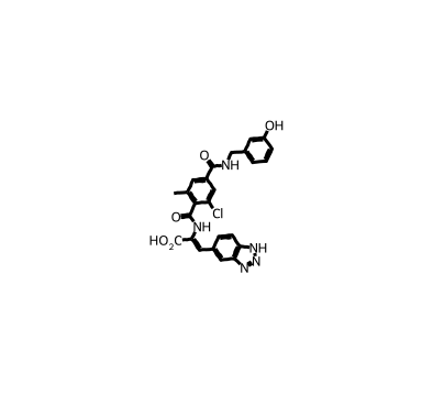 Cc1cc(C(=O)NCc2cccc(O)c2)cc(Cl)c1C(=O)NC(=Cc1ccc2[nH]nnc2c1)C(=O)O